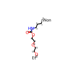 CCCCCCCCCCCCNC(=O)OCCOCCOCC